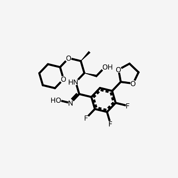 C[C@H](OC1CCCCO1)[C@@H](CO)N/C(=N\O)c1cc(C2OCCO2)c(F)c(F)c1F